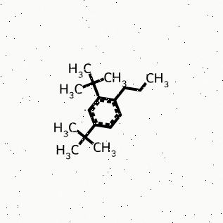 CCCc1ccc(C(C)(C)C)[c]c1C(C)(C)C